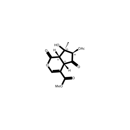 COC(=O)C1=COC(=O)[C@H]2[C@@H]1C(=O)[C@H](OC(C)=O)[C@]2(C)O